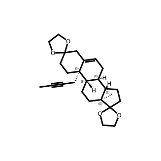 CC#CC[C@]12CCC3(CC1=CC[C@@H]1[C@@H]2CC[C@@]2(C)[C@H]1CCC21OCCO1)OCCO3